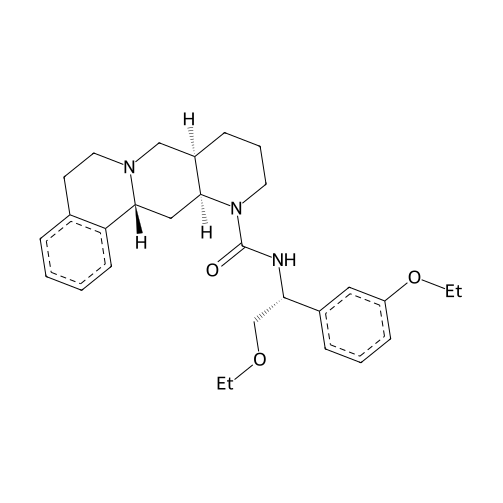 CCOC[C@H](NC(=O)N1CCC[C@@H]2CN3CCc4ccccc4[C@H]3C[C@@H]21)c1cccc(OCC)c1